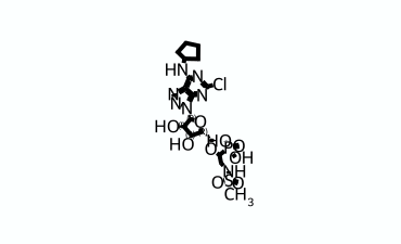 CS(=O)(=O)NCC(OC[C@H]1O[C@@H](n2nnc3c(NC4CCCC4)nc(Cl)nc32)[C@H](O)[C@@H]1O)P(=O)(O)O